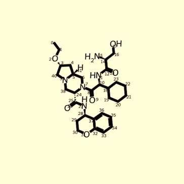 CCO[C@@H]1C[C@@H]2CN(C(=O)[C@@H](NC(=O)[C@@H](N)CO)C3CCCCC3)[C@H](C(=O)N[C@@H]3CCOc4ccccc43)CN2C1